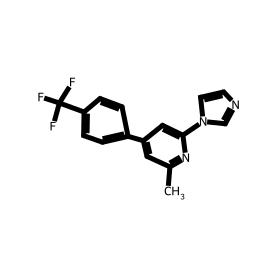 Cc1cc(-c2ccc(C(F)(F)F)cc2)cc(-n2ccnc2)n1